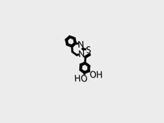 Oc1ccc(C2=CSC3=Nc4ccccc4CCN23)cc1O